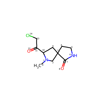 CN1CC2(CCNC2=O)CC1C(=O)CCl